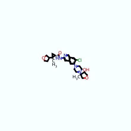 C[C@@]1(C2CCOC2)C[C@@H]1C(=O)Nc1cc2cc(N3CCN([C@]4(C)COC[C@@H]4O)CC3)c(Cl)cc2cn1